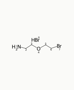 Br.NCCOCCBr